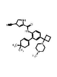 CN1CCN(C2(c3ccc(NC(=O)C4=CC(C#N)CN4)c(C4=CCC(C)(C)CC4)c3)CCC2)CC1